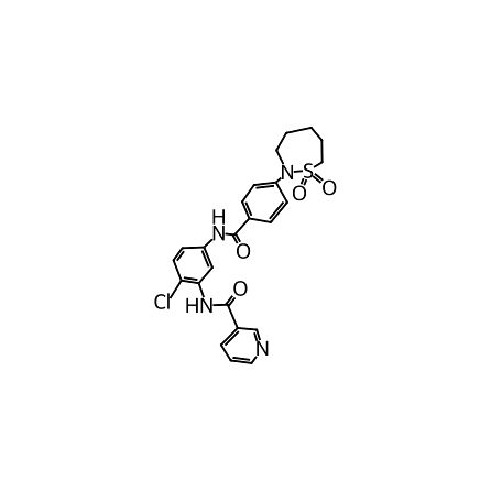 O=C(Nc1ccc(Cl)c(NC(=O)c2cccnc2)c1)c1ccc(N2CCCCCS2(=O)=O)cc1